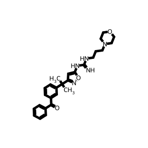 CC(C)(c1cccc(C(=O)c2ccccc2)c1)c1cc(NC(=N)NCCCN2CCOCC2)on1